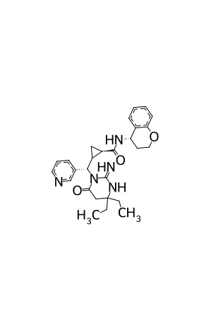 CCC1(CC)CC(=O)N([C@H](c2cccnc2)C2C[C@H]2C(=O)N[C@H]2CCOc3ccccc32)C(=N)N1